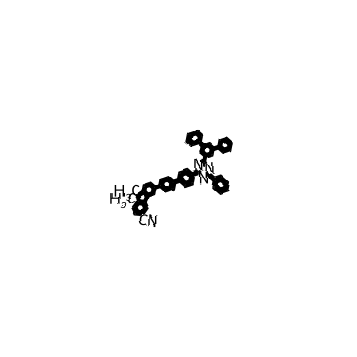 CC1(C)c2ccc(C#N)cc2-c2cc(-c3ccc(-c4ccc(-c5nc(-c6ccccc6)nc(-c6cc(-c7ccccc7)cc(-c7ccccc7)c6)n5)cc4)cc3)ccc21